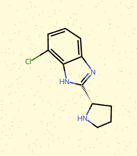 Clc1cccc2nc([C@@H]3CCCN3)[nH]c12